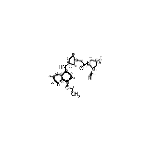 CCOc1ccc(N[C@H]2CCN(CC(=O)N3C[C@@H](F)C[C@H]3C#N)C2)c2cccnc12